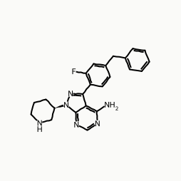 Nc1ncnc2c1c(-c1ccc(Cc3ccccc3)cc1F)nn2[C@@H]1CCCNC1